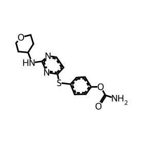 NC(=O)Oc1ccc(Sc2ccnc(NC3CCOCC3)n2)cc1